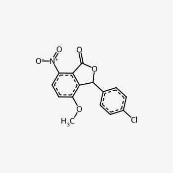 COc1ccc([N+](=O)[O-])c2c1C(c1ccc(Cl)cc1)OC2=O